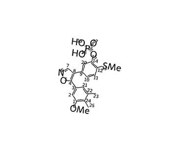 COc1cc(-c2oncc2-c2ccc(SC)c(OP(=O)(O)O)c2)cc(C)c1C